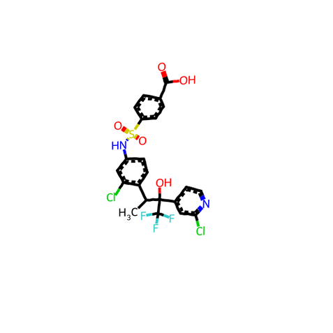 CC(c1ccc(NS(=O)(=O)c2ccc(C(=O)O)cc2)cc1Cl)C(O)(c1ccnc(Cl)c1)C(F)(F)F